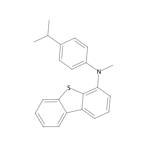 CC(C)c1ccc(N(C)c2cccc3c2sc2ccccc23)cc1